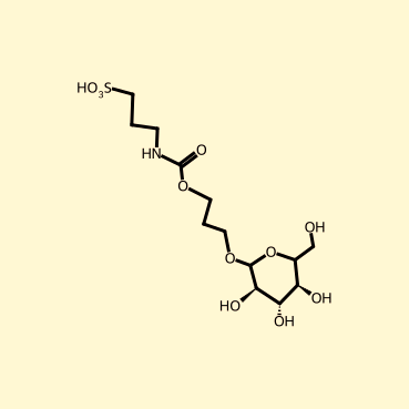 O=C(NCCCS(=O)(=O)O)OCCCOC1OC(CO)[C@@H](O)[C@H](O)[C@H]1O